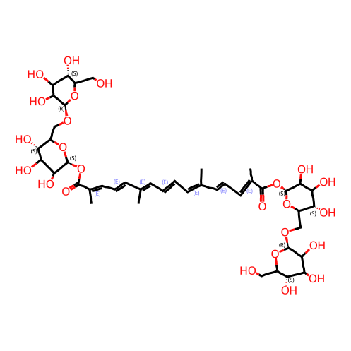 CC(/C=C/C=C(\C)C(=O)O[C@@H]1OC(CO[C@@H]2OC(CO)[C@@H](O)C(O)C2O)[C@@H](O)C(O)C1O)=C\C=C\C=C(C)\C=C\C=C(/C)C(=O)O[C@@H]1OC(CO[C@@H]2OC(CO)[C@@H](O)C(O)C2O)[C@@H](O)C(O)C1O